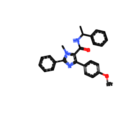 CCCOc1ccc(-c2nc(-c3ccccc3)n(C)c2C(=O)NC(C)c2ccccc2)cc1